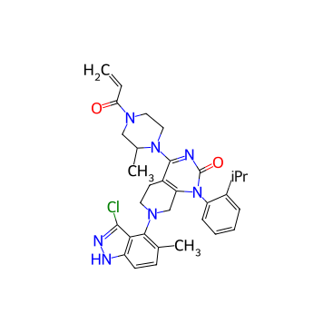 C=CC(=O)N1CCN(c2nc(=O)n(-c3ccccc3C(C)C)c3c2CCN(c2c(C)ccc4[nH]nc(Cl)c24)C3)C(C)C1